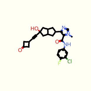 Cn1cnc(C2CC3CC(O)(C#CC4CC(=O)C4)CC3C2)c1C(=O)Nc1ccc(F)c(Cl)c1